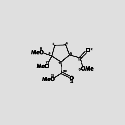 COC(=O)C1CCC(OC)(OC)C1C(=O)OC